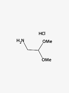 COC(CN)OC.Cl